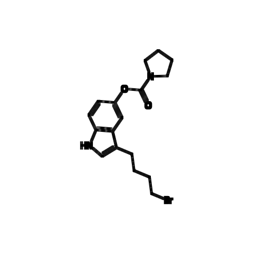 O=C(Oc1ccc2[nH]cc(CCCCBr)c2c1)N1CCCC1